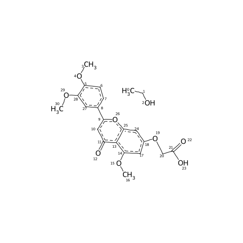 CCO.COc1ccc(-c2cc(=O)c3c(OC)cc(OCC(=O)O)cc3o2)cc1OC